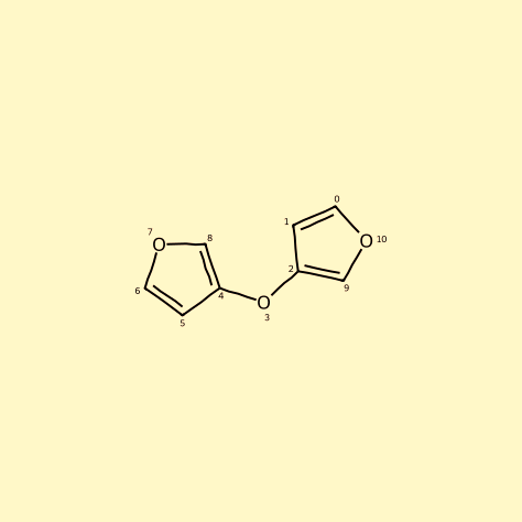 c1cc(Oc2ccoc2)co1